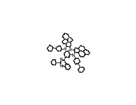 c1ccc(-c2ccc(N3c4cc(-c5nc(-c6ccccc6)nc6ccccc56)cc5c4B(c4cc6ccc7cccc8ccc(c43)c6c78)c3cc4ccc6cccc7ccc(c3N5c3ccc(-c5ccccc5)cc3)c4c67)cc2)cc1